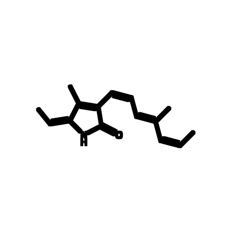 C\C=C/C(C)=C/C=C\C1=C(C)C(=C\C)/NC1=O